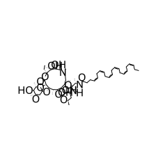 CC/C=C\C/C=C\C/C=C\C/C=C\C/C=C\C/C=C\CCC(=O)N[C@@H](C)C(=O)N(C)[C@H]1C[C@@H](C)O[C@@H](O[C@@H]2[C@H](C)[C@H](O[C@H]3C[C@@](C)(OC)[C@@H](O)[C@H](C)O3)[C@@H](C)C(=O)O[C@H](CC)[C@@](C)(O)[C@H](O)[C@@H](C)N(C)C[C@H](C)C[C@@]2(C)O)[C@@H]1O